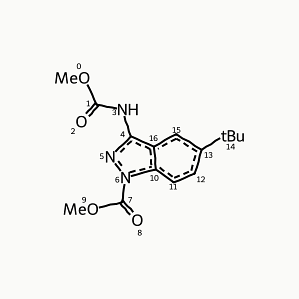 COC(=O)Nc1nn(C(=O)OC)c2ccc(C(C)(C)C)cc12